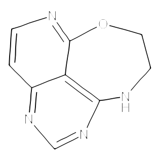 c1cc2ncnc3c2c(n1)OCCN3